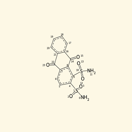 NS(=O)(=O)c1ccc2c(c1S(N)(=O)=O)C(=O)c1ccccc1C2=O